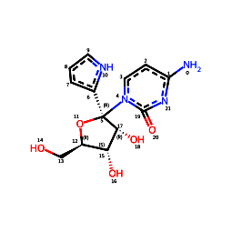 Nc1ccn([C@]2(c3ccc[nH]3)O[C@H](CO)[C@@H](O)[C@H]2O)c(=O)n1